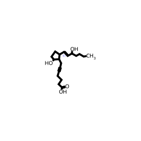 CCCCC(O)/C=C/C1CCC(O)C1CC#CCCCC(=O)O